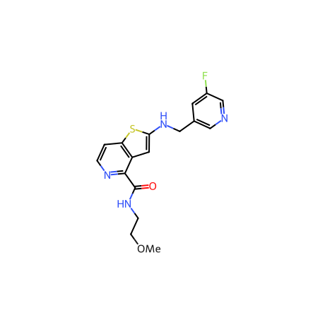 COCCNC(=O)c1nccc2sc(NCc3cncc(F)c3)cc12